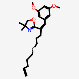 C=CCCCCCCCC(=Cc1cc(OC)cc(OC)c1)C1=NC(C)(C)CO1